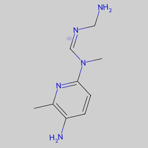 Cc1nc(N(C)/C=N\CN)ccc1N